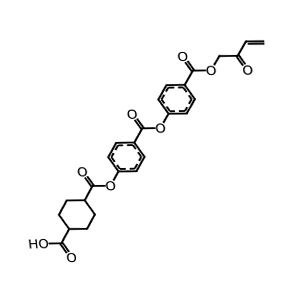 C=CC(=O)COC(=O)c1ccc(OC(=O)c2ccc(OC(=O)C3CCC(C(=O)O)CC3)cc2)cc1